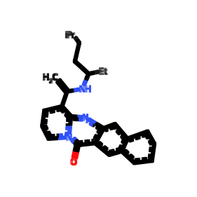 C=C(NC(CC)CCC(C)C)c1cccn2c(=O)c3cc4ccccc4cc3nc12